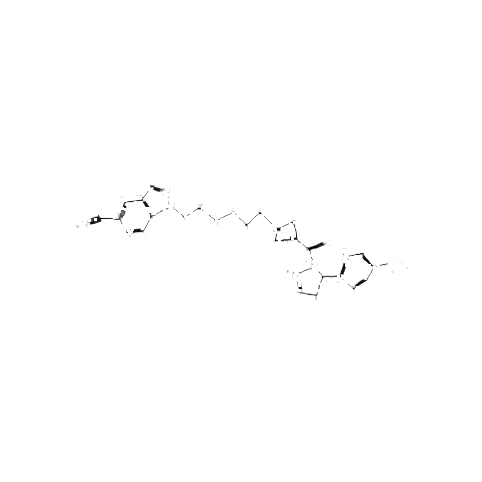 Cc1ccc(C2CC=NN2C(=O)C23CC(CCCCCCn4ncc5cc(C#N)ccc54)(C2)C3)nc1